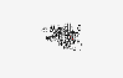 CN[C@@H](CC(C)(C)F)C(=O)O[C@H](Cc1ccc(C2CCOCC2)cc1)C(=O)N(C)[C@@H](CC(C)C)C(=O)O[C@H](C)C(=O)N(C)[C@@H](CC(C)(C)F)C(=O)O[C@H](Cc1ccc(C2CCOCC2)cc1)C(=O)N(C)[C@@H](CC(C)C)C(=O)O[C@H](C)C(=O)O